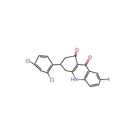 O=C1CC(c2ccc(Cl)cc2Cl)Cc2[nH]c3ccc(I)cc3c(=O)c21